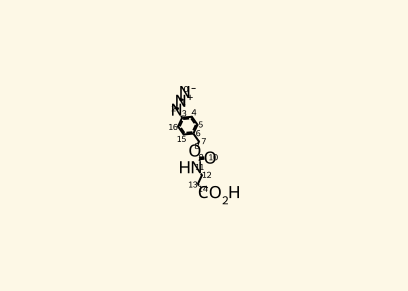 [N-]=[N+]=Nc1ccc(COC(=O)NCCC(=O)O)cc1